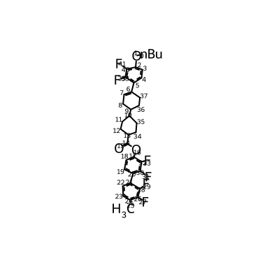 CCCCOc1ccc(C2=CCC(C3CCC(C(=O)Oc4ccc(-c5ccc(C)c(F)c5F)c(F)c4F)CC3)CC2)c(F)c1F